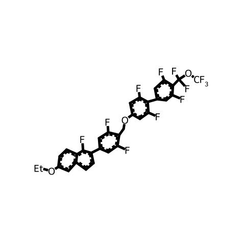 CCOc1ccc2c(F)c(-c3cc(F)c(COc4cc(F)c(-c5cc(F)c(C(F)(F)OC(F)(F)F)c(F)c5)c(F)c4)c(F)c3)ccc2c1